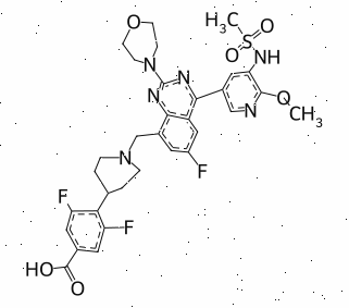 COc1ncc(-c2nc(N3CCOCC3)nc3c(CN4CCC(c5c(F)cc(C(=O)O)cc5F)CC4)cc(F)cc23)cc1NS(C)(=O)=O